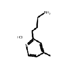 Cc1ccnc(CCCN)c1.Cl